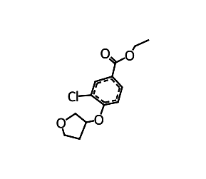 CCOC(=O)c1ccc(OC2CCOC2)c(Cl)c1